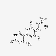 CC1CC(=O)NN=C1c1cc(Cl)c(OCC2(O)CC2)c(Cl)c1